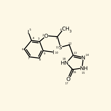 CC(Oc1c(I)cccc1I)SCc1n[nH]c(=O)[nH]1